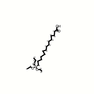 CCO[Si](CCCCCCCCCCCCCCC(=O)O)(OCC)OCC